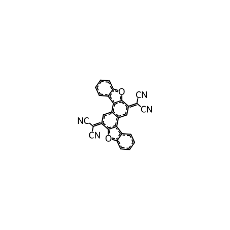 N#CC(C#N)=c1cc2c(cc(=C(C#N)C#N)c3oc4ccccc4c32)c2c1oc1ccccc12